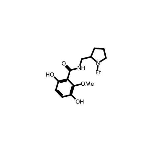 CCN1CCCC1CNC(=O)c1c(O)ccc(O)c1OC